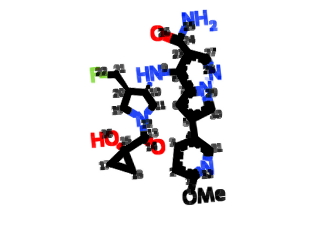 COc1ccc(-c2cc3c(N[C@@H]4CN(C(=O)C5(O)CC5)C[C@H]4CF)c(C(N)=O)cnn3c2)cn1